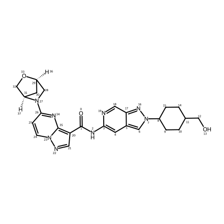 O=C(Nc1cc2cn(C3CCC(CO)CC3)nc2cn1)c1cnn2ccc(N3C[C@H]4C[C@@H]3CO4)nc12